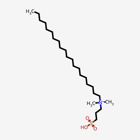 CCCCCCCCCCCCCCCCCCCC[N+](C)(C)CCCS(=O)(=O)O